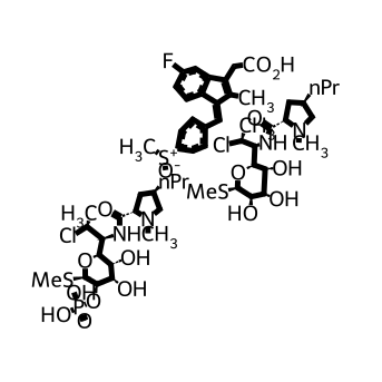 CC1=C(CC(=O)O)c2cc(F)ccc2/C1=C\c1ccc([S+](C)[O-])cc1.CCC[C@@H]1C[C@@H](C(=O)N[C@@H]([C@H]2O[C@H](SC)[C@H](O)[C@@H](O)[C@H]2O)[C@H](C)Cl)N(C)C1.CCC[C@@H]1C[C@@H](C(=O)N[C@@H]([C@H]2O[C@H](SC)[C@H](OP(=O)(O)O)[C@@H](O)[C@H]2O)[C@H](C)Cl)N(C)C1